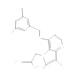 CNC(Cn1c(C)c(C)c2nccc(OCc3cc(F)cc(F)c3)c21)NC